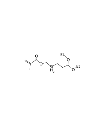 C=C(C)C(=O)OC[SiH2]CCC(OCC)OCC